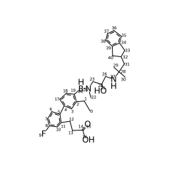 CCc1cc(-c2ccc(F)cc2CCC(=O)O)ccc1BN(C)C[C@H](O)CNC(C)(C)CC1Cc2ccccc2C1